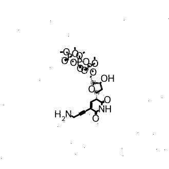 COP(=O)(OC)OP(=O)(OC)OP(=O)(OC)OC[C@H]1O[C@@H](C2C=C(C#CCN)C(=O)NC2=O)CC1O